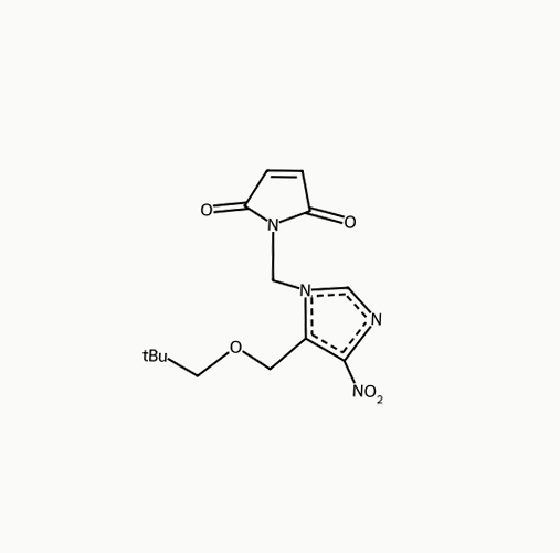 CC(C)(C)COCc1c([N+](=O)[O-])ncn1CN1C(=O)C=CC1=O